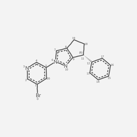 Brc1cncc(-n2cc3c(n2)[C@@H](c2ccccc2)CC3)c1